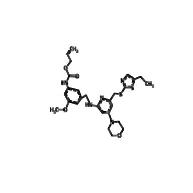 C=CCOC(=O)Nc1cc(CNc2cc(N3CCOCC3)cc(CSc3ncc(CC)s3)n2)cc(OC)c1